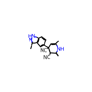 CC1=CC(C#N)(c2ccc3[nH]nc(C)c3c2)C(C#N)C(C)N1